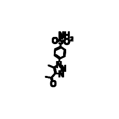 CC(=O)c1nnn(-c2ccc(S(N)(=O)=O)cc2)c1C